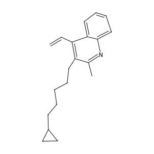 C=Cc1c(CCCCCC2CC2)c(C)nc2ccccc12